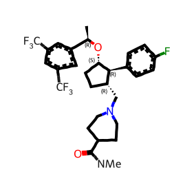 CNC(=O)C1CCN(C[C@@H]2CC[C@H](O[C@H](C)c3cc(C(F)(F)F)cc(C(F)(F)F)c3)[C@H]2c2ccc(F)cc2)CC1